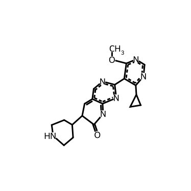 COc1ncnc(C2CC2)c1-c1ncc2c(n1)=NC(=O)C(C1CCNCC1)C=2